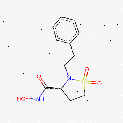 O=C(NO)[C@@H]1CCS(=O)(=O)N1CCc1ccccc1